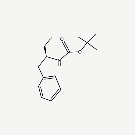 CC(C)(C)OC(=O)N[C@H](CI)Cc1ccccc1